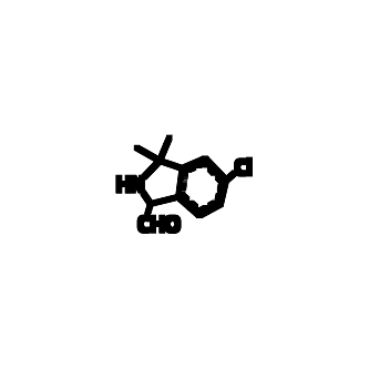 CC1(C)NC(C=O)c2ccc(Cl)cc21